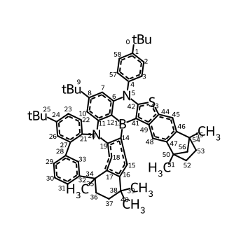 CC(C)(C)c1ccc(N2c3cc(C(C)(C)C)cc4c3B(c3cc5c6cc3N4c3ccc(C(C)(C)C)cc3-c3cccc(c3)C6(C)CCC5(C)C)c3c2sc2cc4c(cc32)C2(C)CCC4(C)C2)cc1